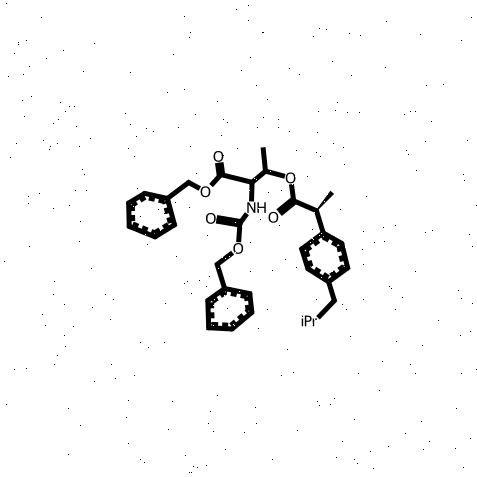 CC(C)Cc1ccc([C@H](C)C(=O)OC(C)C(NC(=O)OCc2ccccc2)C(=O)OCc2ccccc2)cc1